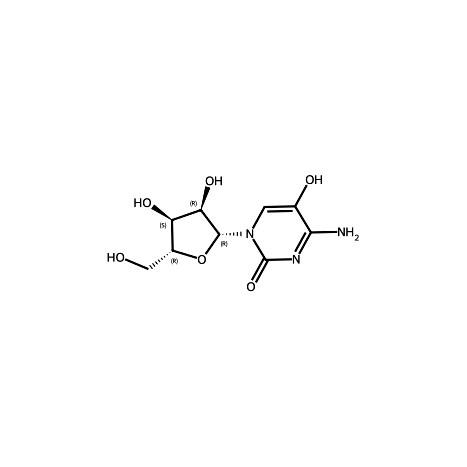 Nc1nc(=O)n([C@@H]2O[C@H](CO)[C@@H](O)[C@H]2O)cc1O